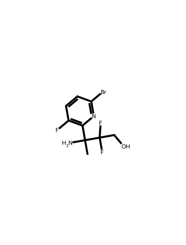 CC(N)(c1nc(Br)ccc1F)C(F)(F)CO